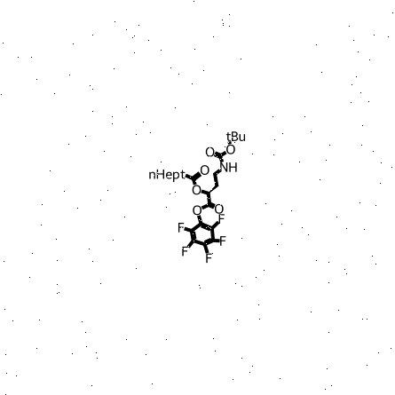 CCCCCCCC(=O)O[C@@H](CCNC(=O)OC(C)(C)C)C(=O)Oc1c(F)c(F)c(F)c(F)c1F